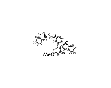 COc1ccc2c(C(=O)c3ccc(OCCN4CCc5ccccc5C4)cc3)c(-c3ccccc3)sc2c1